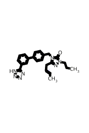 C/C=C/Cc1nn(CCC)c(=O)n1Cc1ccc(-c2cccc(-c3nnn[nH]3)c2)cc1